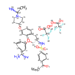 COC(=O)c1ccc(S(=O)(=O)N[C@H](COc2cccc(C(=N)N)c2)Cc2ccc(OC3CCN(C(C)=N)CC3)cc2)cc1.O=C(O)C(F)(F)F.O=C(O)C(F)(F)F